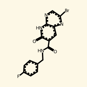 O=C(NCc1ccc(F)cc1)c1cc2nc(Br)cnc2[nH]c1=O